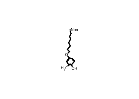 CCCCCCCCCCCCCCCCOc1ccc(O)c(C)c1